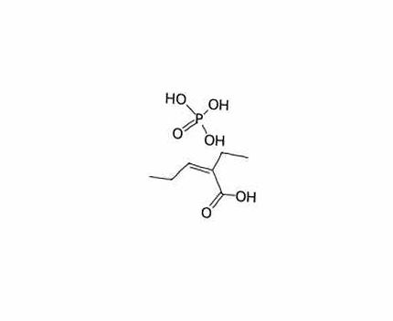 CC/C=C(/CC)C(=O)O.O=P(O)(O)O